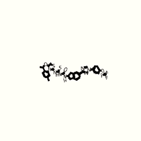 Cc1ccc(C(C)C)c(N2C(=O)CS/C2=N\C(=S)NC(=O)NC2Cc3ccc(-c4ncn(-c5ccc(OC(F)(F)F)cc5)n4)cc3C2)c1